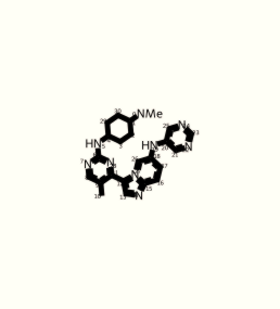 CNC1CCC(Nc2ncc(C)c(-c3cnc4ccc(Nc5cncnc5)cn34)n2)CC1